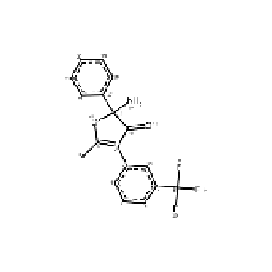 CC1=C(c2cccc(C(F)(F)F)c2)C(=O)C(N)(c2ccccc2)O1